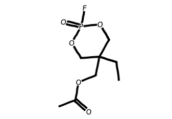 CCC1(COC(C)=O)COP(=O)(F)OC1